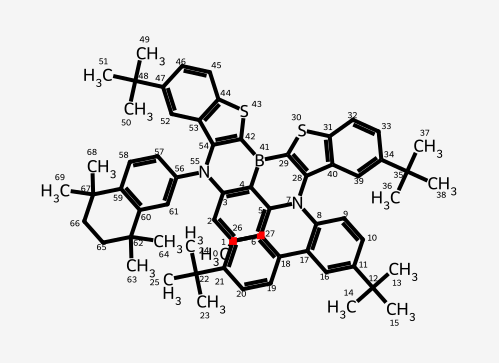 Cc1cc2c3c(c1)N(c1ccc(C(C)(C)C)cc1-c1ccc(C(C)(C)C)cc1)c1c(sc4ccc(C(C)(C)C)cc14)B3c1sc3ccc(C(C)(C)C)cc3c1N2c1ccc2c(c1)C(C)(C)CCC2(C)C